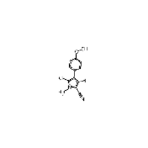 COc1ccc(-c2c(I)c(C#N)n(C)c2Cl)cc1